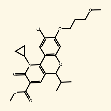 COCCCOc1cc2c(cc1Cl)-c1c(cc(C(=O)OC)c(=O)n1C1CC1)C(C(C)C)O2